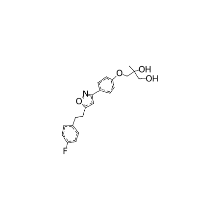 CC(O)(CO)COc1ccc(-c2cc(CCc3ccc(F)cc3)on2)cc1